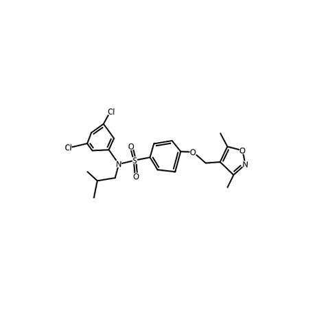 Cc1noc(C)c1COc1ccc(S(=O)(=O)N(CC(C)C)c2cc(Cl)cc(Cl)c2)cc1